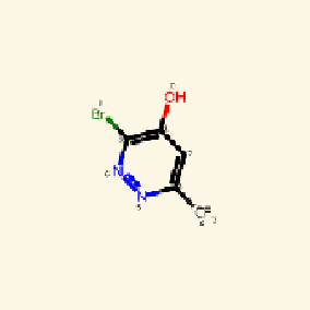 Oc1cc(C(F)(F)F)nnc1Br